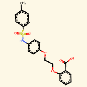 Cc1ccc(S(=O)(=O)Nc2ccc(OCCOc3ccccc3C(=O)O)cc2)cc1